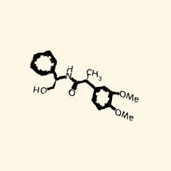 COc1ccc([C@@H](C)C(=O)N[C@@H](CO)c2ccccc2)cc1OC